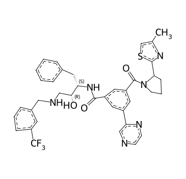 Cc1csc(C2CCCN2C(=O)c2cc(C(=O)N[C@@H](Cc3ccccc3)[C@H](O)CNCc3cccc(C(F)(F)F)c3)cc(-c3cnccn3)c2)n1